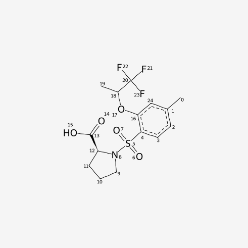 Cc1ccc(S(=O)(=O)N2CCC[C@H]2C(=O)O)c(OC(C)C(F)(F)F)c1